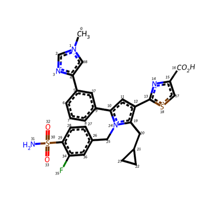 Cn1cnc(-c2cccc(-c3cc(-c4nc(C(=O)O)cs4)c(CC4CC4)n3Cc3ccc(S(N)(=O)=O)c(F)c3)c2)c1